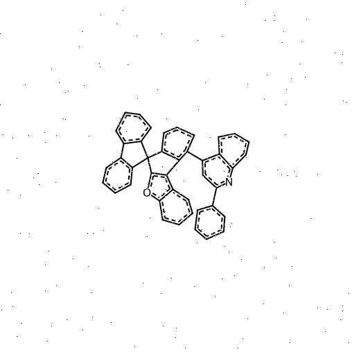 c1ccc(-c2cc(-c3cccc4c3-c3c(oc5ccccc35)C43c4ccccc4-c4ccccc43)c3ccccc3n2)cc1